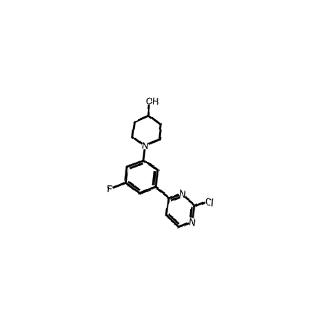 OC1CCN(c2cc(F)cc(-c3ccnc(Cl)n3)c2)CC1